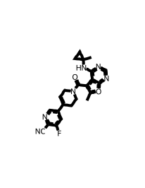 Cc1oc2ncnc(NC3(C)CC3)c2c1C(=O)N1CC=C(c2cnc(C#N)c(F)c2)CC1